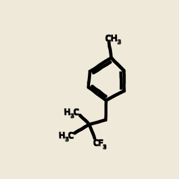 Cc1ccc(CC(C)(C)C(F)(F)F)cc1